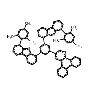 Cc1cc(C)c(-c2cccc3c2sc2c(-c4cc(-c5cnc6c7ccccc7c7ccccc7c6n5)cc(-c5cccc6c5sc5c(-c7c(C)cc(C)cc7C)cccc56)c4)cccc23)c(C)c1